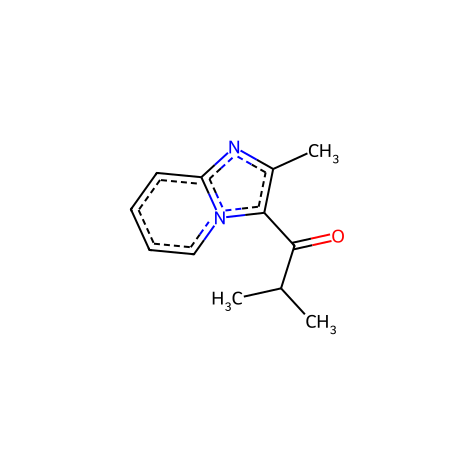 Cc1nc2ccccn2c1C(=O)C(C)C